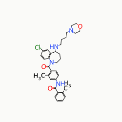 Cc1ccccc1C(=O)Nc1ccc(C(=O)N2CCCC(NCCCCN3CCOCC3)c3cc(Cl)ccc32)c(C)c1